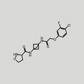 O=C(COc1ccc(Cl)c(F)c1)NC12CC(NC(=O)C3CCON3)(C1)C2